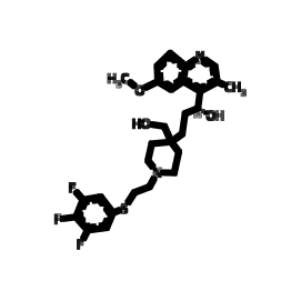 COc1ccc2ncc(C)c([C@H](O)CCC3(CO)CCN(CCSc4cc(F)c(F)c(F)c4)CC3)c2c1